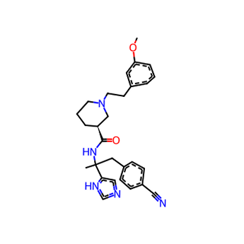 COc1cccc(CCN2CCC[C@H](C(=O)NC(C)(Cc3ccc(C#N)cc3)c3cnc[nH]3)C2)c1